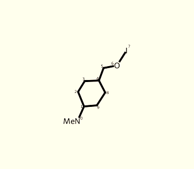 CNC1CCC(COI)CC1